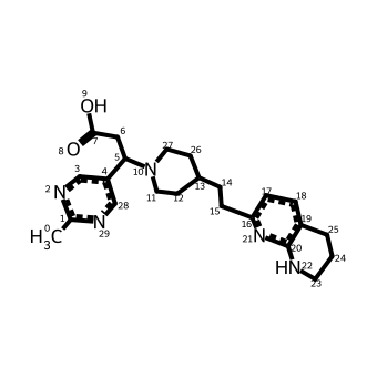 Cc1ncc(C(CC(=O)O)N2CCC(CCc3ccc4c(n3)NCCC4)CC2)cn1